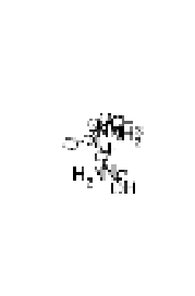 C[C@H](N)C(=O)NC(=O)[C@@H]1CC(C2CCCCC2)CN1Cc1ccc(C(N)=NCC(=O)O)cc1F